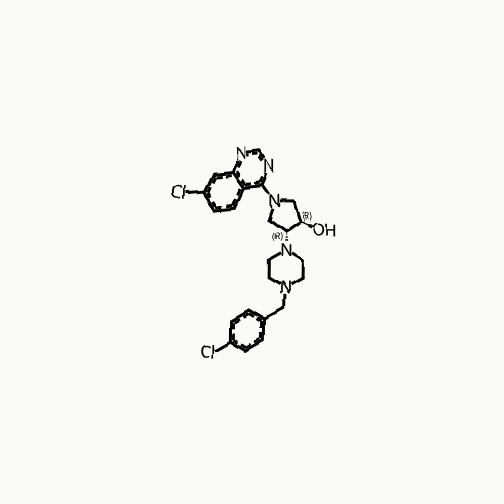 O[C@@H]1CN(c2ncnc3cc(Cl)ccc23)C[C@H]1N1CCN(Cc2ccc(Cl)cc2)CC1